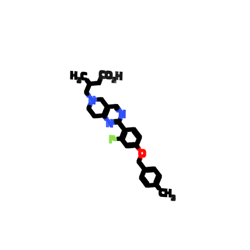 Cc1ccc(COc2ccc(-c3ncc4c(n3)CCN(CC(C)CC(=O)O)C4)c(F)c2)cc1